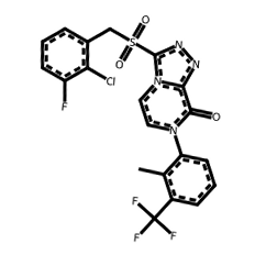 Cc1c(-n2ccn3c(S(=O)(=O)Cc4cccc(F)c4Cl)nnc3c2=O)cccc1C(F)(F)F